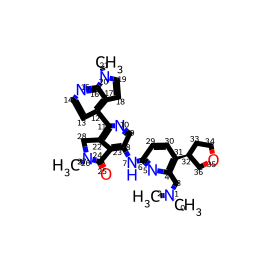 CN(C)Cc1nc(Nc2cnc(-c3ccnc4c3ccn4C)c3c2C(=O)N(C)C3)ccc1[C@H]1CCOC1